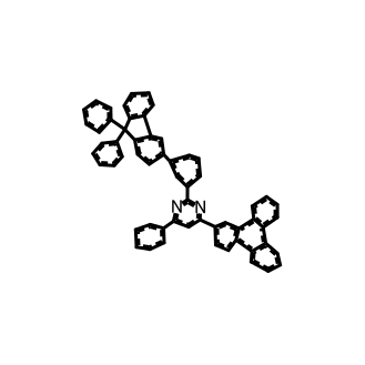 c1ccc(-c2cc(-c3ccc4c5ccccc5c5ccccc5c4c3)nc(-c3cccc(-c4ccc5c(c4)-c4ccccc4C5(c4ccccc4)c4ccccc4)c3)n2)cc1